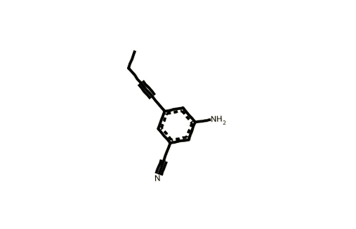 CCC#Cc1cc(N)cc(C#N)c1